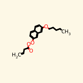 C=CCC(=O)OOc1ccc2ccc(OCCCCC)cc2c1